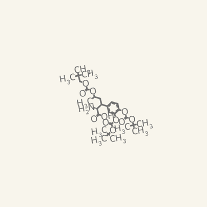 CC(CC(c1ccc(OC(=O)OC(C)(C)C)c(OC(=O)OC(C)(C)C)c1)[C@H](N)C(=O)O)OC(=O)OCC(C)(C)C